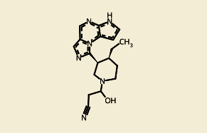 CC[C@H]1CCN(C(O)CC#N)C[C@H]1c1ncc2cnc3[nH]ccc3n12